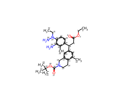 CCOC(=O)CC(c1cc(C)c2c(c1)CN(C(=O)OC(C)(C)C)CC2)c1ccc(N(N)CC)c(N)c1C